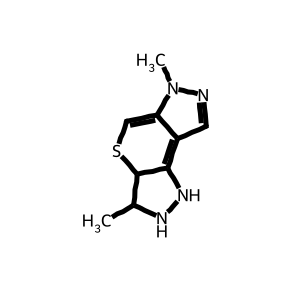 CC1NNC2=c3cnn(C)c3=CSC21